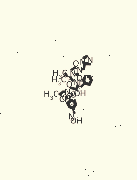 CC(C)CN(C[C@H](O)[C@H](Cc1ccccc1)NC(=O)[C@H](C(C)C)N1CC(=O)N(Cc2cnccn2)C1=O)S(=O)(=O)c1ccc(C=NO)cc1